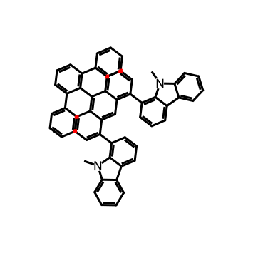 Cn1c2ccccc2c2cccc(-c3cccc4c(-c5c(-c6ccccc6)cccc5-c5ccccc5)c5cccc(-c6cccc7c8ccccc8n(C)c67)c5cc34)c21